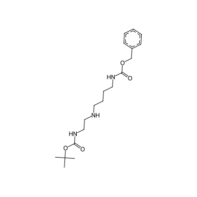 CC(C)(C)OC(=O)NCCNCCCCNC(=O)OCc1ccccc1